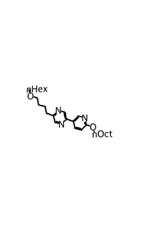 CCCCCCCCOc1ccc(-c2cnc(CCCCOCCCCCC)cn2)cn1